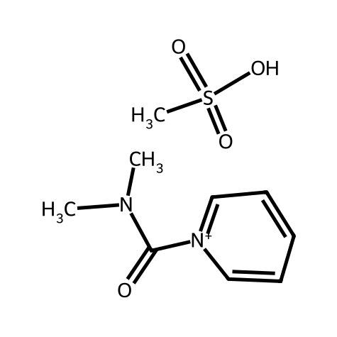 CN(C)C(=O)[n+]1ccccc1.CS(=O)(=O)O